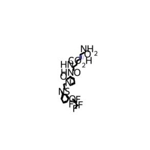 NC(=O)/C=C/CCC(NC(=O)O)C(=O)Nc1cccn(Cc2nc3cccc(OC(F)(F)C(F)F)c3s2)c1=O